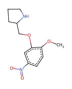 COc1ccc([N+](=O)[O-])cc1OCC1CCCN1